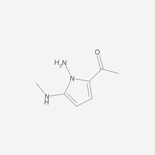 CNc1ccc(C(C)=O)n1N